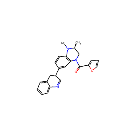 CC(=O)N1c2ccc(C3C=Nc4ccccc4C3)cc2N(C(=O)c2ccco2)C[C@@H]1C